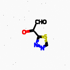 O=CC(=O)c1nncs1